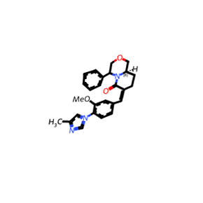 COc1cc(C=C2CC[C@@H]3COCC(c4ccccc4)N3C2=O)ccc1-n1cnc(C)c1